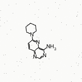 Nc1ncnc2ccc(N3CCCCC3)nc12